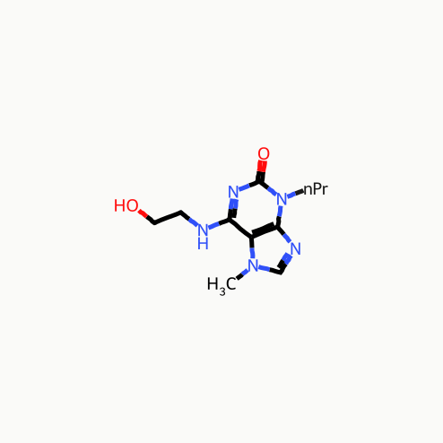 CCCn1c(=O)nc(NCCO)c2c1ncn2C